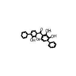 O=C(c1ccc(-c2ccccc2)c(O)c1O)c1ccc(-c2ccccc2)c(O)c1O